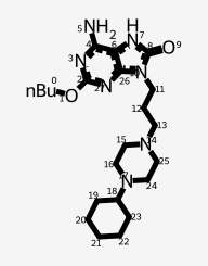 CCCCOc1nc(N)c2[nH]c(=O)n(CCCN3CCN(C4CCCCC4)CC3)c2n1